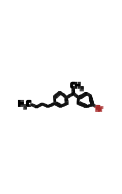 C=C(c1ccc(Br)cc1)c1ccc(CCCC)cc1